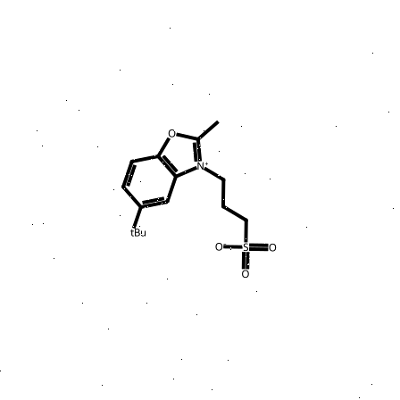 Cc1oc2ccc(C(C)(C)C)cc2[n+]1CCCS(=O)(=O)[O-]